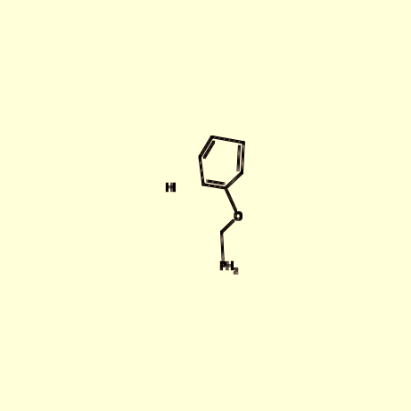 I.PCOc1ccccc1